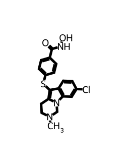 CN1CCc2c(Sc3ccc(C(=O)NO)cc3)c3ccc(Cl)cc3n2C1